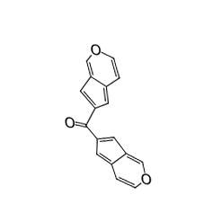 O=C(c1cc2ccocc-2c1)c1cc2ccocc-2c1